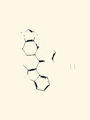 Cc1oc2ccccc2c1C(=O)C1CCc2[nH]cnc2C1.O=C(O)/C=C/C(=O)O